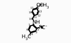 [C-]#[N+]c1cc(C)ccc1NCc1ccc(OC)cc1